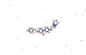 O=c1cc(OCc2ccc(F)cc2)ccn1-c1ccc(OCCN2C3CCCC2CC3)cc1